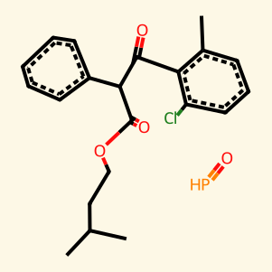 Cc1cccc(Cl)c1C(=O)C(C(=O)OCCC(C)C)c1ccccc1.O=P